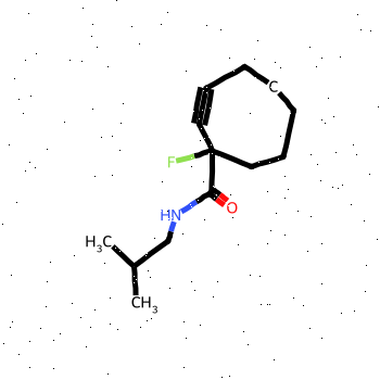 CC(C)CNC(=O)C1(F)C#CCCCCC1